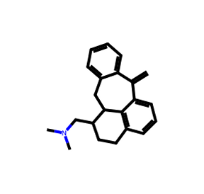 C=C1c2ccccc2CC2c3c(cccc31)CCC2CN(C)C